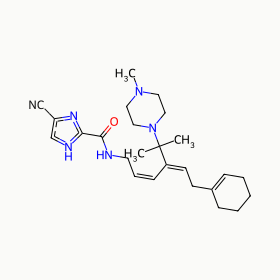 CN1CCN(C(C)(C)C(/C=C\CNC(=O)c2nc(C#N)c[nH]2)=C/CC2=CCCCC2)CC1